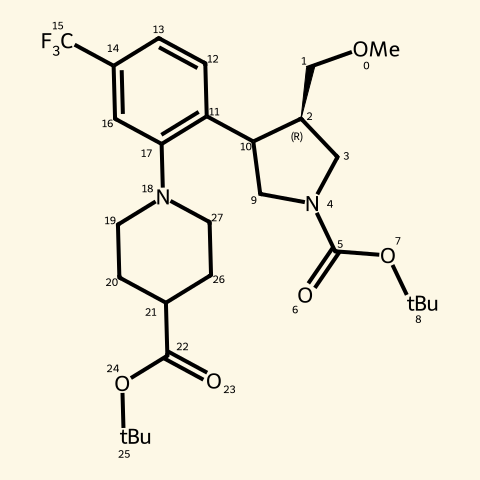 COC[C@H]1CN(C(=O)OC(C)(C)C)CC1c1ccc(C(F)(F)F)cc1N1CCC(C(=O)OC(C)(C)C)CC1